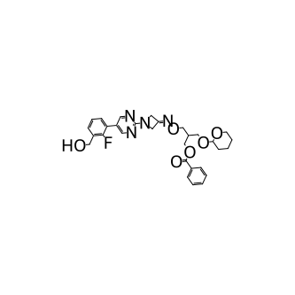 O=C(OCC(CON=C1CN(c2ncc(-c3cccc(CO)c3F)cn2)C1)COC1CCCCO1)c1ccccc1